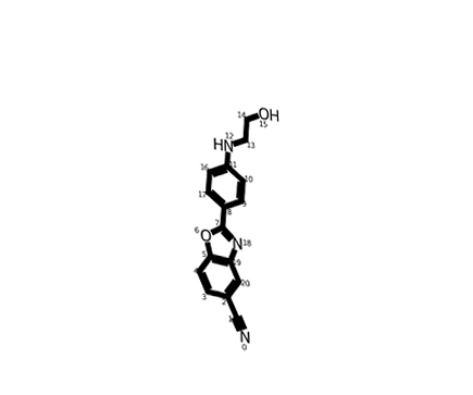 N#Cc1ccc2oc(-c3ccc(NCCO)cc3)nc2c1